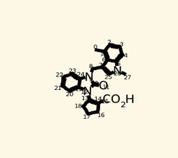 Cc1cccc2c1c(Cn1c(=O)n(C3=C(C(=O)O)CCC3)c3ccccc31)cn2C